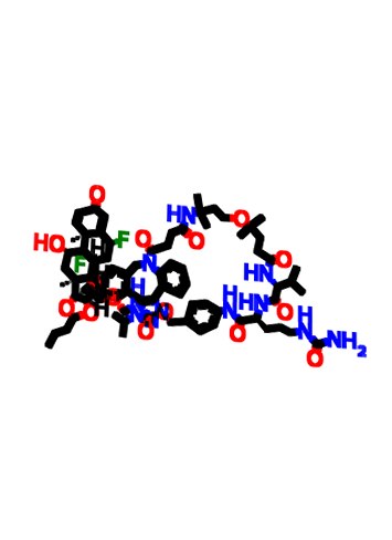 CCCC1O[C@@H]2C[C@H]3[C@@H]4C[C@H](F)C5=CC(=O)C=C[C@]5(C)[C@@]4(F)[C@@H](O)C[C@]3(C)[C@]2(C(=O)COCNC(=O)OCc2ccc(NC(=O)[C@H](CCCNC(N)=O)NC(=O)[C@@H](NC(=O)CCC(C)(C)OCCC(C)(C)NC(=O)CCC(=O)N3Cc4ccccc4-c4c(nnn4C(C)C)-c4ccccc43)C(C)C)cc2)O1